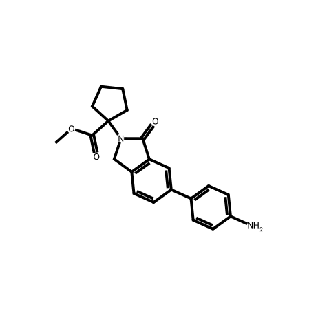 COC(=O)C1(N2Cc3ccc(-c4ccc(N)cc4)cc3C2=O)CCCC1